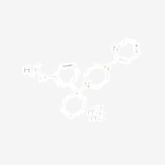 COc1cccc(C2(N3CCN(c4ccccn4)CC3)CCCCC2)c1.Cl.Cl